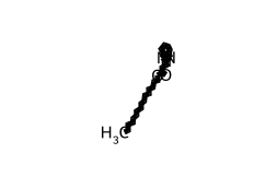 CCCCCCCCCCCCCCCCOC(=O)CCn1nc2ccccc2n1